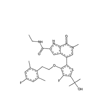 CCNC(=O)c1cc2c(-c3sc(C(C)(C)O)c(F)c3OCCc3c(C)cc(F)cc3C)cn(C)c(=O)c2[nH]1